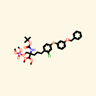 COC(OC)C(CCCc1ccc(Sc2cccc(OCc3ccccc3)c2)cc1Cl)(COP(=O)(OC)OC)NC(=O)OC(C)(C)C